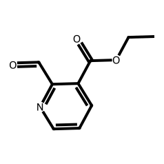 CCOC(=O)c1cccnc1C=O